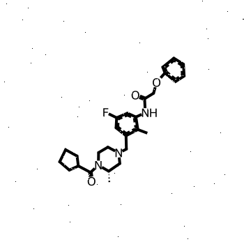 Cc1c(CN2CCN(C(=O)C3CCCC3)[C@@H](C)C2)cc(F)cc1NC(=O)COc1ccccc1